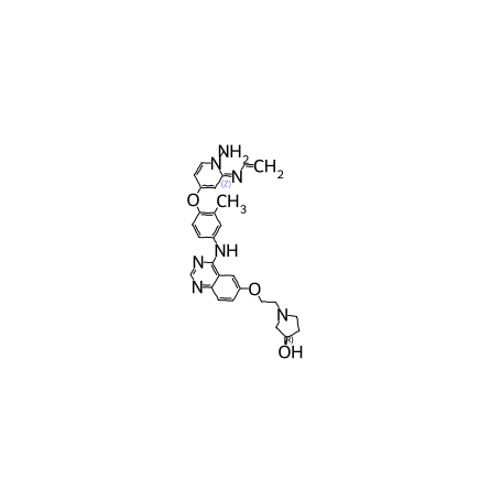 C=C/N=c1/cc(Oc2ccc(Nc3ncnc4ccc(OCCN5CC[C@@H](O)C5)cc34)cc2C)ccn1N